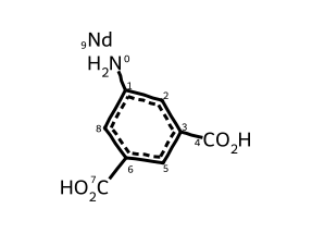 Nc1cc(C(=O)O)cc(C(=O)O)c1.[Nd]